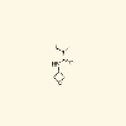 CC[C@H](C)C(=O)NC1COC1